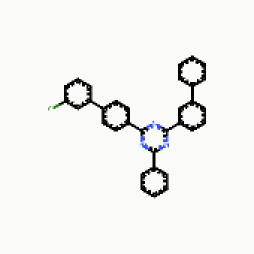 Clc1cccc(-c2ccc(-c3nc(-c4ccccc4)nc(-c4cccc(-c5ccccc5)c4)n3)cc2)c1